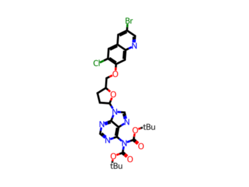 CC(C)(C)OC(=O)N(C(=O)OC(C)(C)C)c1ncnc2c1ncn2C1CCC(COc2cc3ncc(Br)cc3cc2Cl)O1